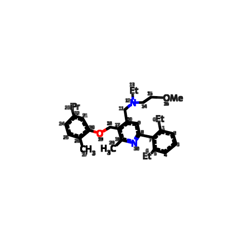 CCc1cccc(CC)c1-c1cc(CN(CC)CCOC)c(COc2cc(C(C)C)ccc2C)c(C)n1